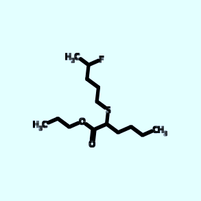 CCCCC(SCCCC(C)F)C(=O)OCCC